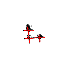 CCCCCCCC[N+](CCCCCCCC)(CCCCCCCC)CC(=O)OC.CCCCCCCC[N+](CCCCCCCC)(CCCCCCCC)CC(=O)OC.CCCCCCCC[N+](CCCCCCCC)(CCCCCCCC)CC(=O)OC.O=P([O-])([O-])[O-]